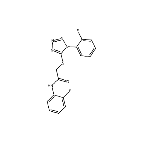 O=C(CSc1nnnn1-c1ccccc1F)Nc1ccccc1F